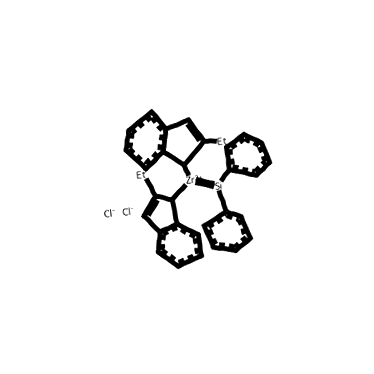 CCC1=Cc2ccccc2[CH]1[Zr+2]([CH]1C(CC)=Cc2ccccc21)=[Si](c1ccccc1)c1ccccc1.[Cl-].[Cl-]